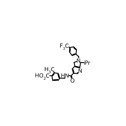 Cc1cc(CNC(=O)c2cnc3c(c2)CN(Cc2ccc(C(F)(F)F)cc2)C3C(C)C)ccc1C(=O)O